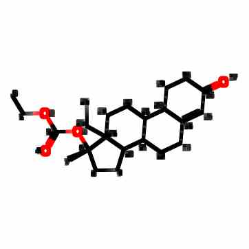 CCOC(=O)O[C@@]1(C)CCC2C3CCC4=CC(=O)CCC4C3CCC21CC